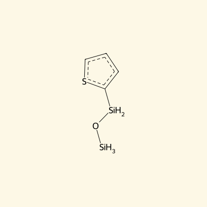 [SiH3]O[SiH2]c1cccs1